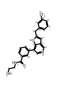 O=C(NCCO)c1cccc(-c2cncc3cc(Cc4cccc(C(F)(F)F)c4)oc23)c1